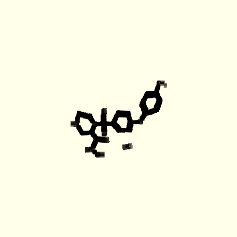 Cc1ccc(Oc2ccc(S(=O)(=O)N3CCNCC3C(=O)NO)cc2)cc1.Cl